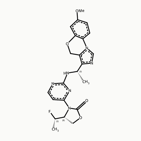 COc1ccc2c(c1)OCc1c([C@H](C)Nc3nccc(N4C(=O)OC[C@@H]4[C@H](C)F)n3)ncn1-2